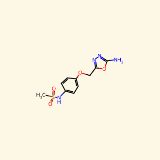 CS(=O)(=O)Nc1ccc(OCc2nnc(N)o2)cc1